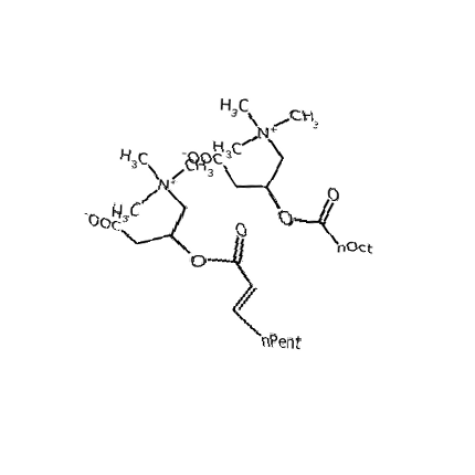 CCCCCC=CC(=O)OC(CC(=O)[O-])C[N+](C)(C)C.CCCCCCCCC(=O)OC(CC(=O)[O-])C[N+](C)(C)C